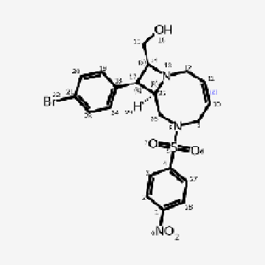 O=[N+]([O-])c1ccc(S(=O)(=O)N2C/C=C\CN3[C@H](CO)[C@H](c4ccc(Br)cc4)[C@@H]3C2)cc1